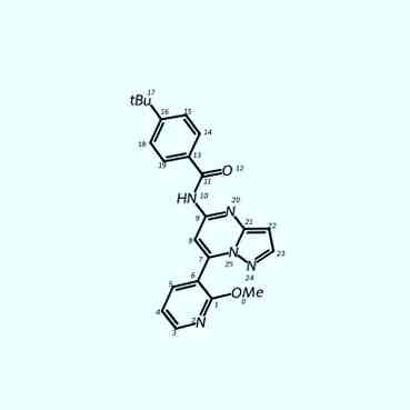 COc1ncccc1-c1cc(NC(=O)c2ccc(C(C)(C)C)cc2)nc2ccnn12